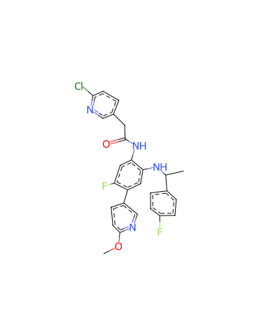 COc1ccc(-c2cc(NC(C)c3ccc(F)cc3)c(NC(=O)Cc3ccc(Cl)nc3)cc2F)cn1